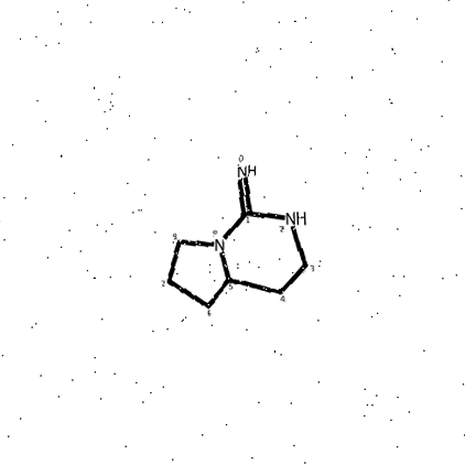 N=C1NCCC2CCCN12